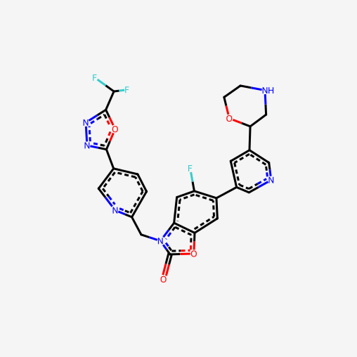 O=c1oc2cc(-c3cncc(C4CNCCO4)c3)c(F)cc2n1Cc1ccc(-c2nnc(C(F)F)o2)cn1